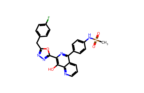 CS(=O)(=O)Nc1ccc(-c2nc(-c3nnc(Cc4ccc(F)cc4)o3)c(O)c3ncccc23)cc1